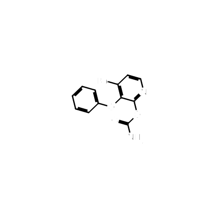 CC(C)(C)c1ccnc(OC(N)=O)c1Oc1ccccc1